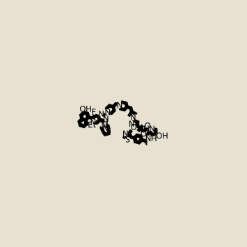 CCc1cccc2cc(O)cc(-c3ncc4c(N5CC6CCC(C5)N6)nc(N5CCC(CN6CCC(CC7CN(c8cc(C(C)(C)CC(=O)[C@@]9(C(=O)N[C@@H](C)c%10ccc(-c%11scnc%11C)cc%10)CC(O)CN9)on8)C7)CC6)CC5)nc4c3F)c12